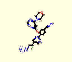 N#Cc1ccc(-c2ncc([C@@H](F)CN)cn2)c(Oc2cc(N3CCOCC3)ncn2)c1